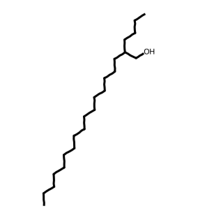 CCCCCCCCCCCCCCCCC(CO)CCCC